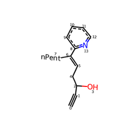 C#CC(O)CC=C(CCCCC)c1ccc[c]n1